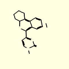 Cn1ccc(C2=c3ccccc3=C3CCCCC3N2)nc1=O.O=S(=O)(O)O